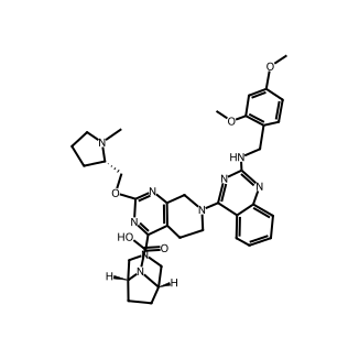 COc1ccc(CNc2nc(N3CCc4c(nc(OC[C@@H]5CCCN5C)nc4N4C[C@H]5CC[C@@H](C4)N5C(=O)O)C3)c3ccccc3n2)c(OC)c1